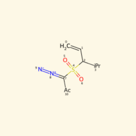 C=CC(C(C)C)S(=O)(=O)C(=[N+]=[N-])C(C)=O